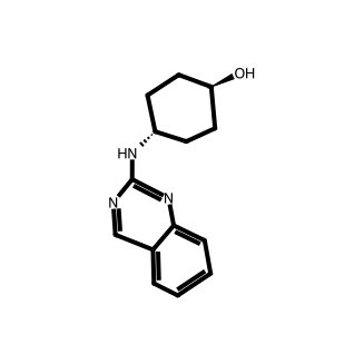 O[C@H]1CC[C@H](Nc2ncc3ccccc3n2)CC1